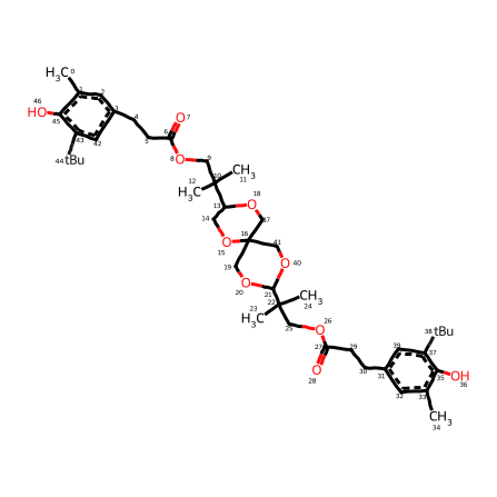 Cc1cc(CCC(=O)OCC(C)(C)C2COC3(CO2)COC(C(C)(C)COC(=O)CCc2cc(C)c(O)c(C(C)(C)C)c2)OC3)cc(C(C)(C)C)c1O